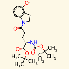 CC(C)(C)OC(=O)N[C@@H](CCC(=O)N1CCc2c([O])cccc21)C(=O)OC(C)(C)C